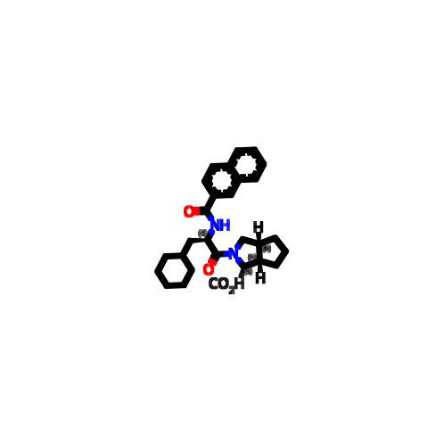 O=C(N[C@H](CC1CCCCC1)C(=O)N1C[C@@H]2CCC[C@@H]2[C@H]1C(=O)O)c1ccc2ccccc2c1